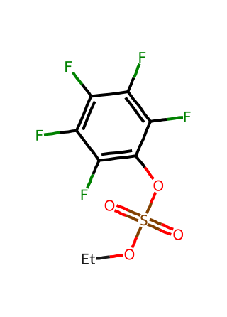 CCOS(=O)(=O)Oc1c(F)c(F)c(F)c(F)c1F